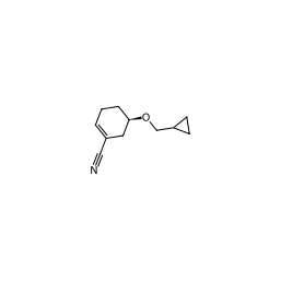 N#CC1=CCC[C@@H](OCC2CC2)C1